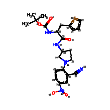 CC(C)(C)OC(=O)N[C@@H](Cc1cccs1)C(=O)N[C@H]1CCN(c2ccc([N+](=O)[O-])cc2C#N)C1